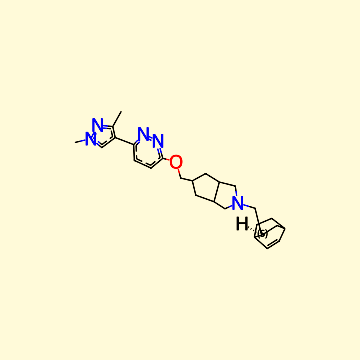 Cc1nn(C)cc1-c1ccc(OCC2CC3CN(C[C@H]4CC5C=CC4CC5)CC3C2)nn1